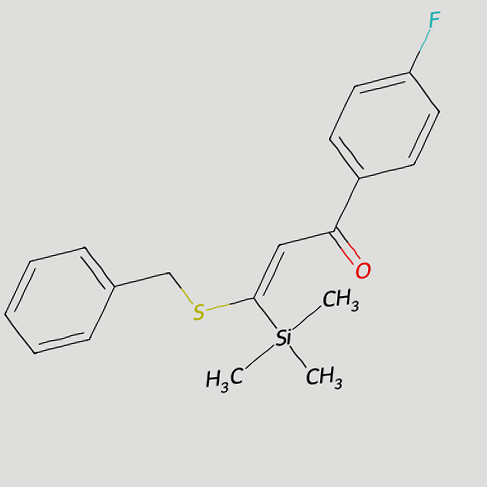 C[Si](C)(C)/C(=C\C(=O)c1ccc(F)cc1)SCc1ccccc1